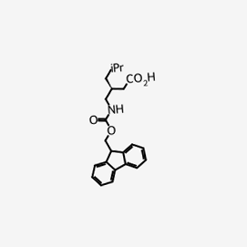 CC(C)C[C@H](CNC(=O)OCC1c2ccccc2-c2ccccc21)CC(=O)O